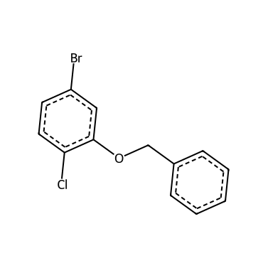 Clc1ccc(Br)cc1OCc1ccccc1